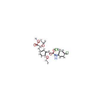 CCOc1ccc(C[C@H](OC(C)C)C(=O)OC)cc1COC(=O)Nc1ccc(Cl)cc1Cl